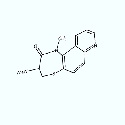 CNC1CSc2ccc3ncccc3c2N(C)C1=O